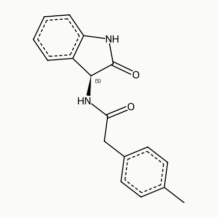 Cc1ccc(CC(=O)N[C@@H]2C(=O)Nc3ccccc32)cc1